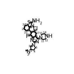 CN(C)C1CCN(c2nc(N3CCNCC3)c3cc(Cl)c(-c4cccc5sc(N)nc45)c(F)c3n2)C1